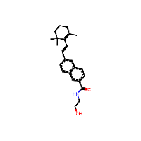 CC1=C(C=Cc2ccc3cc(C(=O)NCCO)ccc3c2)C(C)(C)CCC1